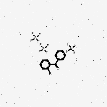 F[B-](F)(F)F.F[B-](F)(F)F.F[B-](F)(F)F.O=C(c1ccccc1)c1cccc[c]1[K]